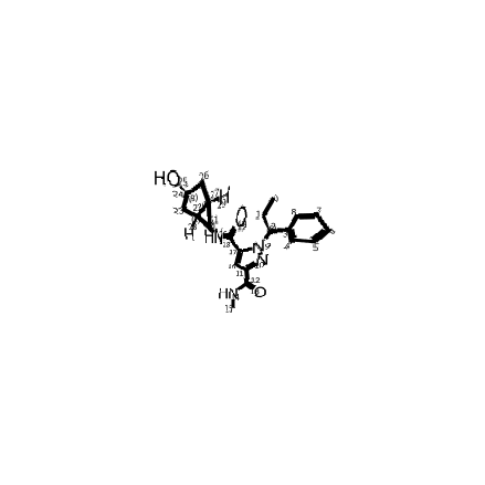 CC[C@@H](c1ccccc1)n1nc(C(=O)NC)cc1C(=O)N[C@H]1[C@@H]2C[C@H](O)C[C@@H]21